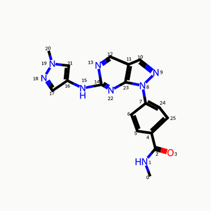 CNC(=O)c1ccc(-n2ncc3cnc(Nc4cnn(C)c4)nc32)cc1